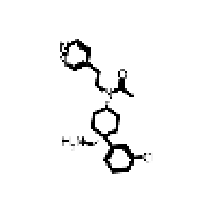 CC(=O)N(CCc1ccnnc1)[C@H]1CC[C@](CN)(c2cccc(Cl)c2)CC1